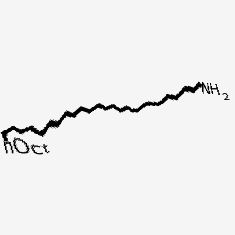 CCCCCCCC/C=C\CCCCCCCCCCCCCCCCCCCCCCN